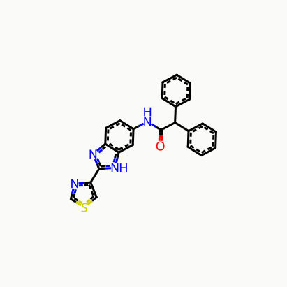 O=C(Nc1ccc2nc(-c3cscn3)[nH]c2c1)C(c1ccccc1)c1ccccc1